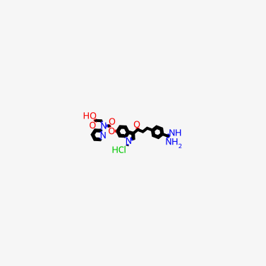 Cl.Cn1cc(C(=O)CCc2ccc(C(=N)N)cc2)c2ccc(OC(=O)N(CC(=O)O)c3ccccn3)cc21